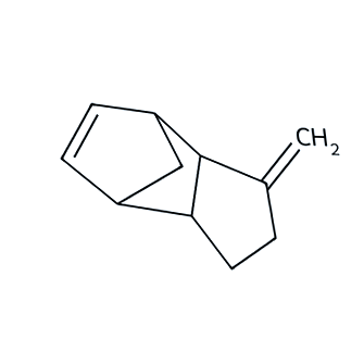 C=C1CCC2C3C=CC(C3)C12